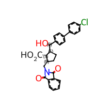 O=C(O)[C@H]1[C@H](CN2C(=O)c3ccccc3C2=O)CC[C@@H]1[C@@H](O)c1ccc(-c2ccc(Cl)cc2)cc1